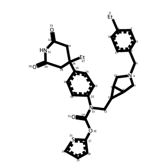 CCc1ccc(CN2CC3C(C2)C3CN(C(=O)Oc2cccs2)c2ccc(C3(CC)CC(=O)NC(=O)C3)cc2)cc1